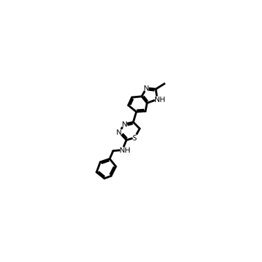 Cc1nc2ccc(C3=NN=C(NCc4ccccc4)SC3)cc2[nH]1